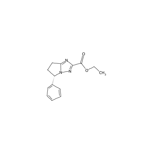 CCOC(=O)c1nc2n(n1)[C@H](c1ccccc1)CC2